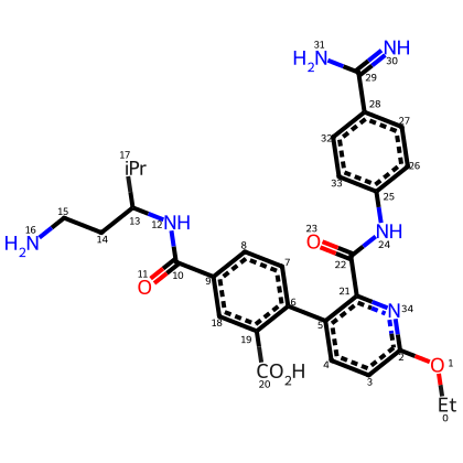 CCOc1ccc(-c2ccc(C(=O)NC(CCN)C(C)C)cc2C(=O)O)c(C(=O)Nc2ccc(C(=N)N)cc2)n1